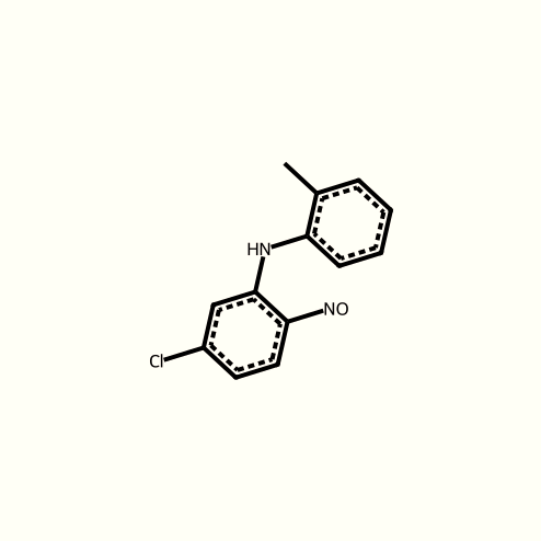 Cc1ccccc1Nc1cc(Cl)ccc1N=O